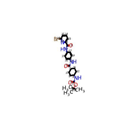 CC(C)(C)OC(=O)N[C@H]1CC[C@H](C(=O)Nc2ccc(NC(=O)c3cccc(Br)n3)cc2)CC1